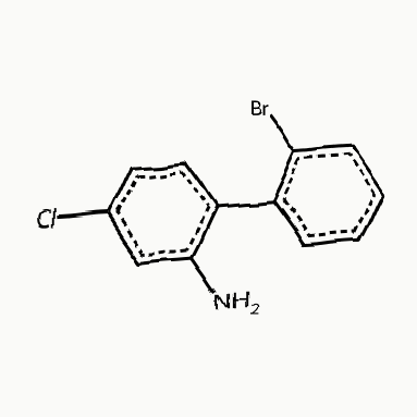 Nc1cc(Cl)ccc1-c1ccccc1Br